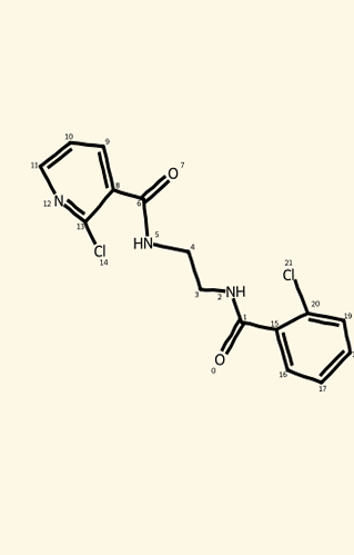 O=C(NCCNC(=O)c1cccnc1Cl)c1ccccc1Cl